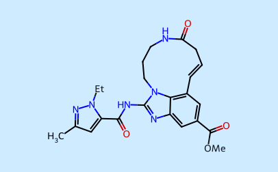 CCn1nc(C)cc1C(=O)Nc1nc2cc(C(=O)OC)cc3c2n1CCCNC(=O)C/C=C/3